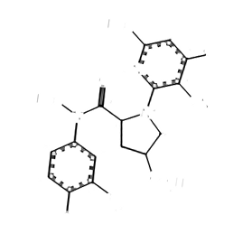 Cc1cc(C(F)(F)F)c(C#N)c(N2CC(C(=O)O)CC2C(=O)N(C)c2ccc(F)c(Cl)c2)n1